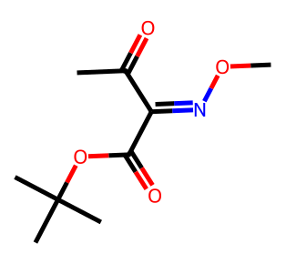 CO/N=C(\C(C)=O)C(=O)OC(C)(C)C